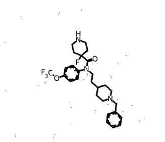 O=C(N(CCC1CCN(Cc2ccccc2)CC1)c1ccc(OC(F)(F)F)cc1)C1(F)CCNCC1